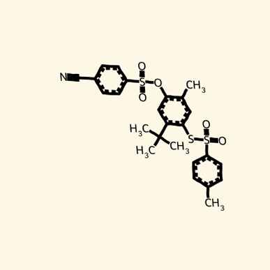 Cc1ccc(S(=O)(=O)Sc2cc(C)c(OS(=O)(=O)c3ccc(C#N)cc3)cc2C(C)(C)C)cc1